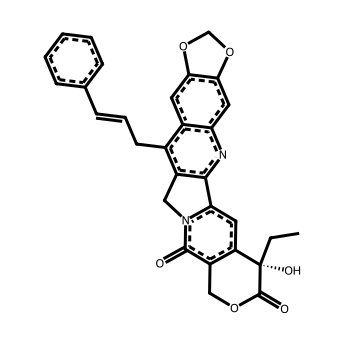 CC[C@@]1(O)C(=O)OCc2c1cc1n(c2=O)Cc2c-1nc1cc3c(cc1c2C/C=C/c1ccccc1)OCO3